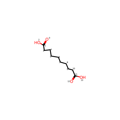 O=C(O)CCC[CH]CCCCC(=O)O